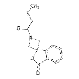 CSCC(=O)N1CC2(C1)OC(=O)c1ccccc12